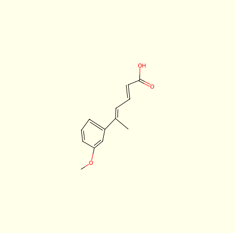 COc1cccc(C(C)=CC=CC(=O)O)c1